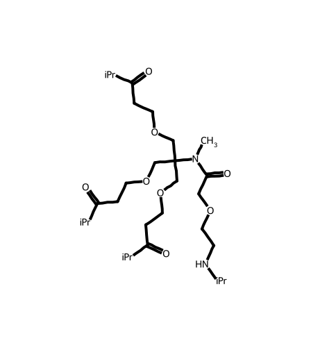 CC(C)NCCOCC(=O)N(C)C(COCCC(=O)C(C)C)(COCCC(=O)C(C)C)COCCC(=O)C(C)C